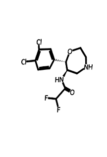 O=C(N[C@@H]1CNCCO[C@H]1c1ccc(Cl)c(Cl)c1)C(F)F